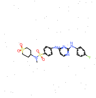 CN(C1CCS(=O)(=O)CC1)S(=O)(=O)c1ccc(Nc2ccnc(Nc3ccc(F)cc3)n2)cc1